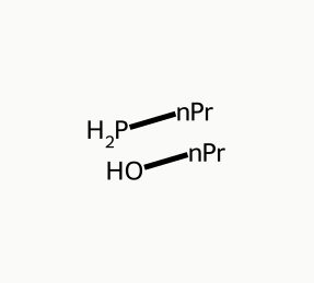 CCCO.CCCP